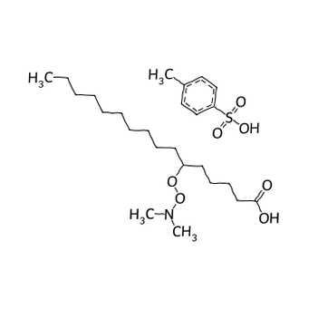 CCCCCCCCCCC(CCCCC(=O)O)OON(C)C.Cc1ccc(S(=O)(=O)O)cc1